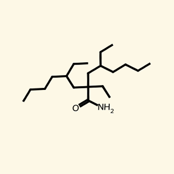 CCCCC(CC)CC(CC)(CC(CC)CCCC)C(N)=O